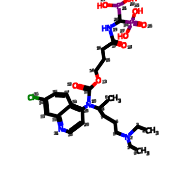 CCN(CC)CCCC(C)N(C(=O)OCCCC(=O)NC(P(O)O)P(=O)(O)O)c1ccnc2cc(Cl)ccc12